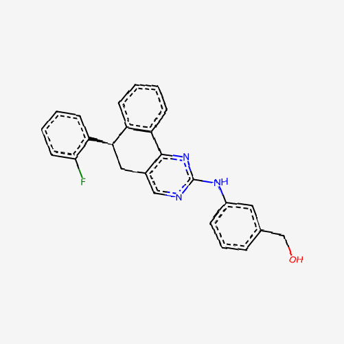 OCc1cccc(Nc2ncc3c(n2)-c2ccccc2[C@H](c2ccccc2F)C3)c1